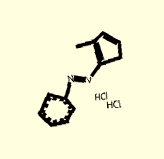 CC1=[C]([V]=[N]c2ccccc2)CC=C1.Cl.Cl